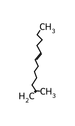 C=C(C)CCCCC=CCCCC